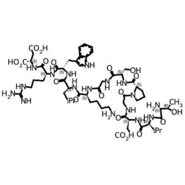 CC(C)C[C@H](NC(=O)[C@H](CCCCN)NC(=O)CNC(=O)[C@H](CO)NC(=O)[C@@H]1CCCN1C(=O)CNC(=O)[C@H](CC(=O)O)NC(=O)[C@@H](NC(=O)[C@@H](N)[C@@H](C)O)C(C)C)C(=O)N[C@@H](Cc1c[nH]c2ccccc12)C(=O)N[C@@H](CCCNC(=N)N)C(=O)N[C@@H](CC(=O)O)C(=O)O